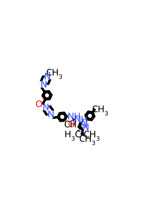 Cc1ccc(-n2nc(C(C)(C)C)cc2NC(=O)Nc2ccc(CN3CCN(C(=O)c4cccc(CN5CCN(C)CC5)c4)CC3)cc2C)cc1